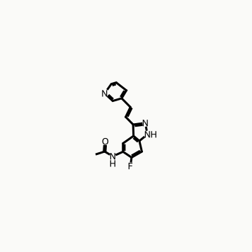 CC(=O)Nc1cc2c(C=Cc3cccnc3)n[nH]c2cc1F